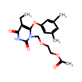 CCc1c(Oc2cc(C)cc(C)c2)n(COCCOC(C)=O)c(=O)[nH]c1=O